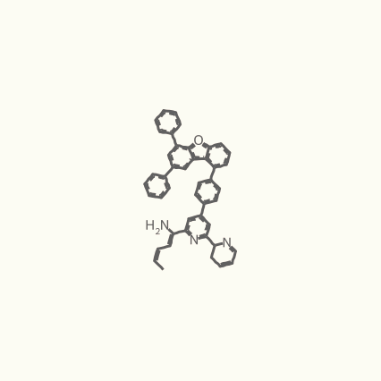 C/C=C\C=C(/N)c1cc(-c2ccc(-c3cccc4oc5c(-c6ccccc6)cc(-c6ccccc6)cc5c34)cc2)cc(C2CC=CC=N2)n1